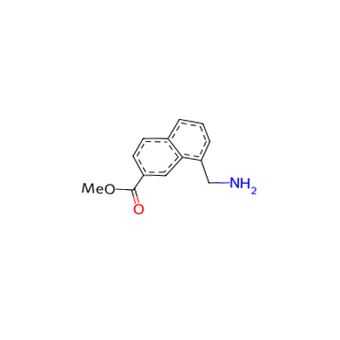 COC(=O)c1ccc2cccc(CN)c2c1